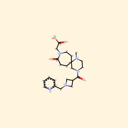 CN1CCN(C(=O)C2CN(Cc3ccccn3)C2)CC12CCC(=O)N(CC(=O)O)CC2